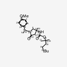 COc1ccc([C@H](C)N2CC(C)(NC(=O)OC(C)(C)CCC(C)(C)C)CC2=O)cc1